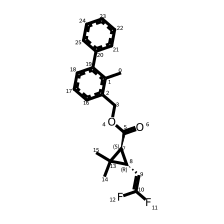 Cc1c(COC(=O)[C@H]2[C@H](C=C(F)F)C2(C)C)cccc1-c1ccccc1